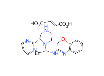 CCC(NC1=Nc2ccccc2OC1)N1CCNCC1c1ncccn1.O=C(O)C=CC(=O)O